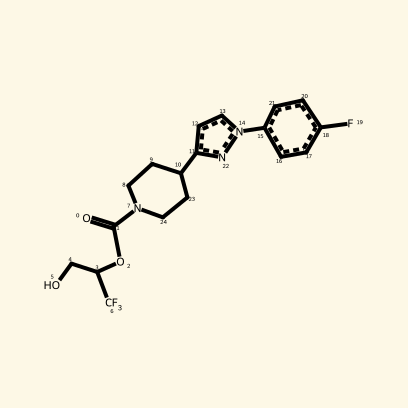 O=C(OC(CO)C(F)(F)F)N1CCC(c2ccn(-c3ccc(F)cc3)n2)CC1